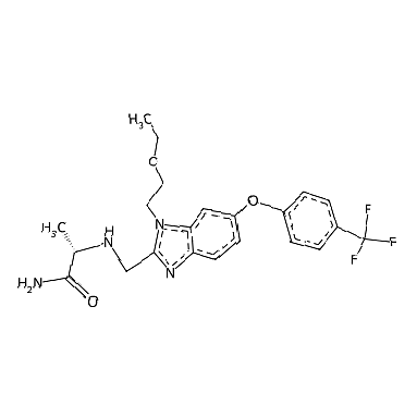 CCOCCn1c(CN[C@@H](C)C(N)=O)nc2ccc(Oc3ccc(C(F)(F)F)cc3)cc21